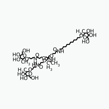 CC(C)NC(COCCC(=O)NCCCCCCCCCCCCOC1OC(CO)C(O)C(O)C1C)(COCCC(=O)NCCCOC1OC(CO)C(O)C(O)C1C)COCCC(=O)NCCCOC1OC(CO)C(O)C(O)C1C